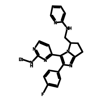 CCNc1nccc(-c2c(-c3ccc(F)cc3)nc3n2C(CNc2ccccn2)CC3)n1